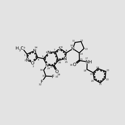 Cc1noc(-c2nc3sc(N4CCCC4C(=O)NCc4ccccc4)nc3c(=O)n2CC(F)F)n1